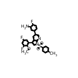 COc1c(F)cc(F)cc1-c1cn(S(=O)(=O)c2ccc(C)cc2)c2ncc(-c3ccc(F)c(N)c3)cc12